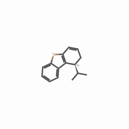 CC(C)[C@@H]1CC=Cc2sc3ccccc3c21